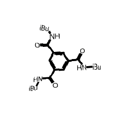 CCC(C)NC(=O)c1cc(C(=O)NC(C)CC)cc(C(=O)NC(C)CC)c1